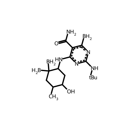 Bc1nc(NC(C)(C)C)nc(NC2CC(O)C(C)CC2(B)B)c1C(N)=O